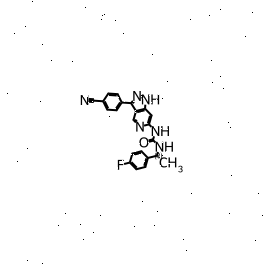 C[C@@H](NC(=O)Nc1cc2[nH]nc(-c3ccc(C#N)cc3)c2cn1)c1ccc(F)cc1